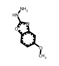 COc1ccc2oc(NN)nc2c1